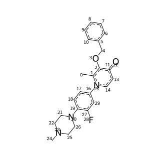 Cc1c(OCc2ccccc2)c(=O)ccn1-c1ccc(N2CCN(C)CC2)c(F)c1